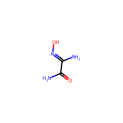 NC(=O)C(N)=NO